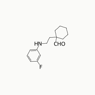 O=CC1(CCNc2cccc(F)c2)CCCCC1